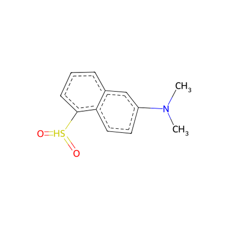 CN(C)c1ccc2c([SH](=O)=O)cccc2c1